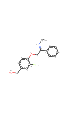 CON=C(COc1ccc(CO)cc1F)c1ccccc1